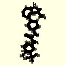 Nc1n[nH]c2cccc(-c3ccc(NC(=O)Nc4ccc(F)c(C(F)(F)F)c4)cc3)c12